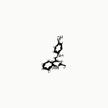 Cc1nc(CNc2ccc(O)cc2)c2ccccc2n1